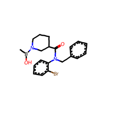 CB(O)N1CCCC(C(=O)N(Cc2ccccc2)c2ccccc2Br)C1